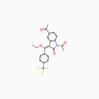 CCOC(=C1C(=O)N(C(C)=O)c2ccc(C(C)=O)cc21)c1ccc(C(F)(F)F)cc1